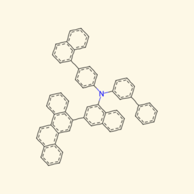 c1ccc(-c2cccc(N(c3ccc(-c4cccc5ccccc45)cc3)c3cc(-c4cc5c6ccccc6ccc5c5ccccc45)cc4ccccc34)c2)cc1